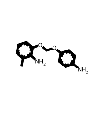 Cc1cccc(OCOc2ccc(N)cc2)c1N